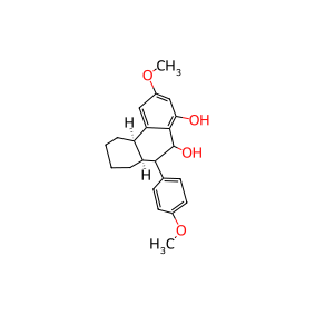 COc1ccc(C2C(O)c3c(O)cc(OC)cc3[C@@H]3CCCC[C@H]23)cc1